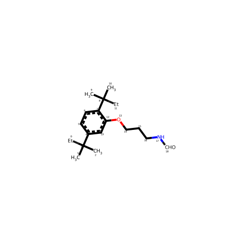 CCC(C)(C)c1ccc(C(C)(C)CC)c(OCCCNC=O)c1